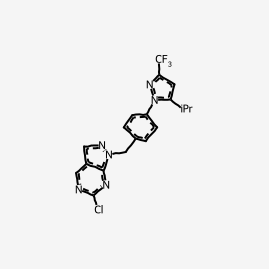 CC(C)c1cc(C(F)(F)F)nn1-c1ccc(Cn2ncc3cnc(Cl)nc32)cc1